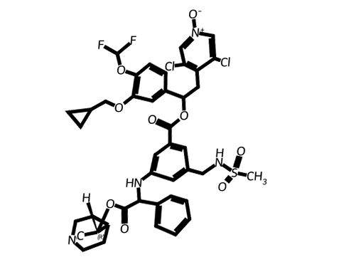 CS(=O)(=O)NCc1cc(NC(C(=O)O[C@H]2CN3CCC2CC3)c2ccccc2)cc(C(=O)OC(Cc2c(Cl)c[n+]([O-])cc2Cl)c2ccc(OC(F)F)c(OCC3CC3)c2)c1